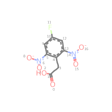 O=C(O)Cc1c([N+](=O)[O-])cc(F)cc1[N+](=O)[O-]